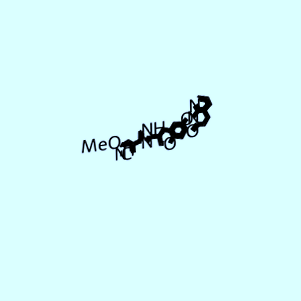 COc1cc(-c2c[nH]c(C3COc4ccc(ON5C(=O)CCc6cccnc65)cc4C3)n2)ccn1